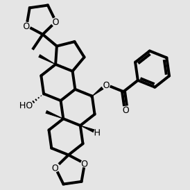 CC1(C2CCC3C4C([C@H](O)C[C@@]32C)[C@@]2(C)CCC3(C[C@H]2C[C@@H]4OC(=O)c2ccccc2)OCCO3)OCCO1